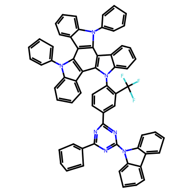 FC(F)(F)c1cc(-c2nc(-c3ccccc3)nc(-n3c4ccccc4c4ccccc43)n2)ccc1-n1c2ccccc2c2c3c(c4ccccc4n3-c3ccccc3)c3c(c4ccccc4n3-c3ccccc3)c21